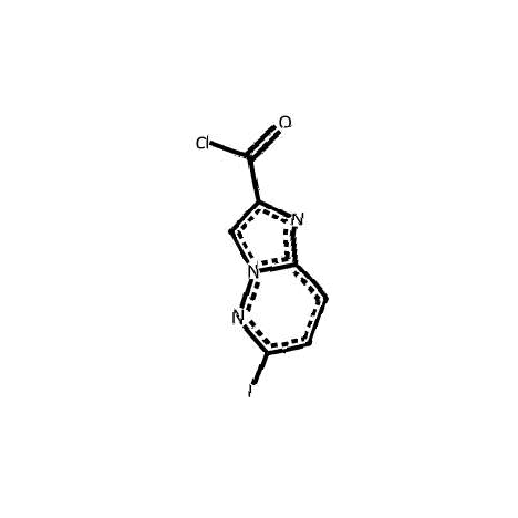 O=C(Cl)c1cn2nc(I)ccc2n1